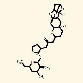 C=C1C(C)CC(CC)OC1C[C@@H]1OCCC1CC(=O)CC1CC[C@@H]2OC3C4OC5CC(OC4C2O1)O[C@@H]53